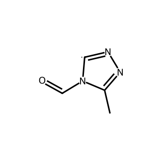 Cc1nn[c]n1C=O